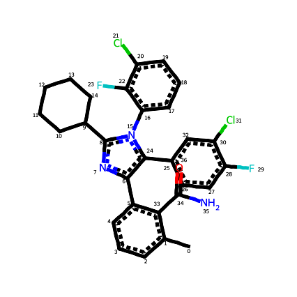 Cc1cccc(-c2nc(C3CCCCC3)n(-c3cccc(Cl)c3F)c2-c2ccc(F)c(Cl)c2)c1C(N)=O